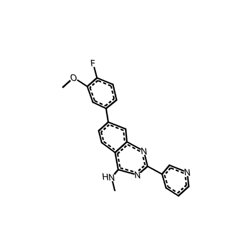 CNc1nc(-c2cccnc2)nc2cc(-c3ccc(F)c(OC)c3)ccc12